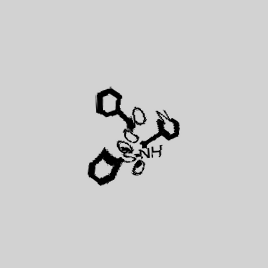 O=C(OC(NS(=O)(=O)c1ccccc1)c1cccnc1)C1CCCCC1